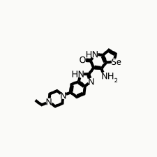 CCN1CCN(c2ccc3nc(-c4c(N)c5[se]ccc5[nH]c4=O)[nH]c3c2)CC1